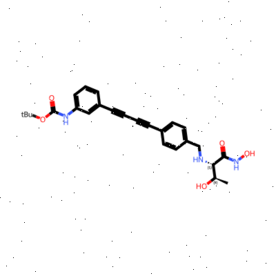 C[C@@H](O)[C@H](NCc1ccc(C#CC#Cc2cccc(NC(=O)OC(C)(C)C)c2)cc1)C(=O)NO